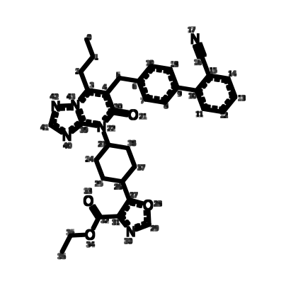 CCCc1c(Cc2ccc(-c3ccccc3C#N)cc2)c(=O)n(C2CCC(c3ocnc3C(=O)OCC)CC2)c2ncnn12